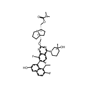 CCc1c(F)ccc2cc(O)cc(-c3c(F)cc4c(N5CCC[C@@](C)(O)C5)nc(OC[C@]56CCCN5[C@H](COC(=O)N(C)C)CC6)nc4c3F)c12